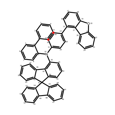 c1ccc(-c2ccccc2N(c2ccc(-c3cccc4oc5ccccc5c34)cc2)c2cccc3c2-c2ccccc2C32c3ccccc3-c3ccccc32)cc1